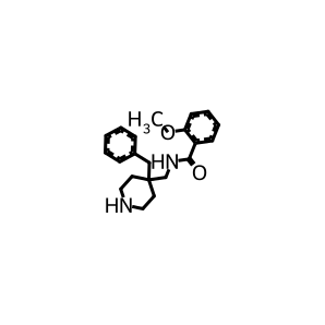 COc1ccccc1C(=O)NCC1(Cc2ccccc2)CCNCC1